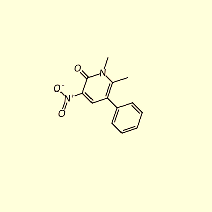 Cc1c(-c2ccccc2)cc([N+](=O)[O-])c(=O)n1C